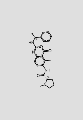 Cc1c(NC(=O)[C@@H]2CCCN2C)ccc2nc(N[C@@H](C)c3ccccc3)oc(=O)c12